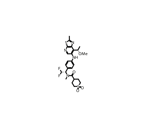 CO[C@@H](C)c1c(Nc2ccc([C@@H](C(F)F)N(C)C(=O)C3CCS(=O)(=O)CC3)cc2)cnc2sc(C)nc12